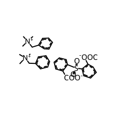 C[N+](C)(C)Cc1ccccc1.C[N+](C)(C)Cc1ccccc1.O=C([O-])c1ccccc1S(=O)(=O)c1ccccc1C(=O)[O-]